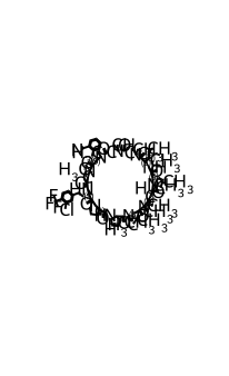 CC[C@H](C)[C@@H]1NC(=O)[C@H](CC(C)C)N(C)C(=O)C[C@@H](C)N(C)C(=O)[C@H](C(C)C)N(C)C(=O)C2(CCCC2)NC(=O)[C@@H]2CCCN2C(=O)[C@H](CCc2ccc(C(F)(F)F)c(Cl)c2)NC(=O)CN(C)C(=O)[C@H](Cc2ccccc2C#N)N(C)C(=O)CN(C)C(=O)CN(C)C1=O